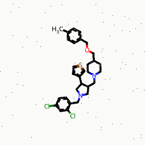 Cc1ccc(COCC2CCN(CC3CN(Cc4ccc(Cl)cc4Cl)CC3c3ccsc3)CC2)cc1